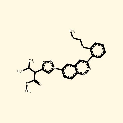 COCOc1ccccc1-c1cc2cc(-n3cc(C(C(=O)OC)C(C)C)nn3)ccc2nn1